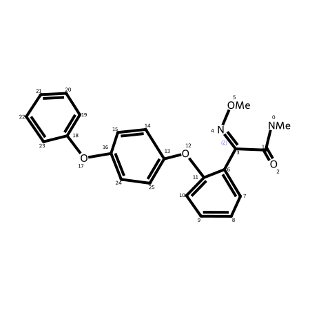 CNC(=O)/C(=N\OC)c1ccccc1Oc1ccc(Oc2ccccc2)cc1